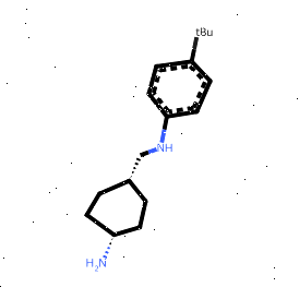 CC(C)(C)c1ccc(NC[C@H]2CC[C@@H](N)CC2)cc1